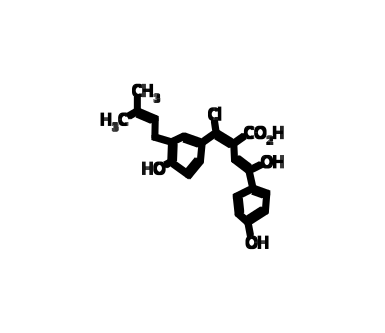 CC(C)=CCc1cc(C(Cl)=C(C=C(O)c2ccc(O)cc2)C(=O)O)ccc1O